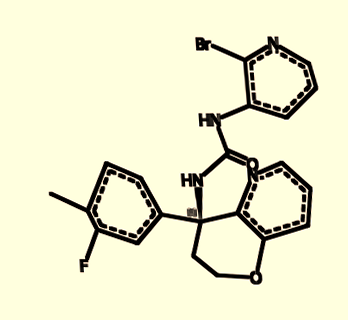 Cc1ccc([C@@]2(NC(=O)Nc3cccnc3Br)CCOc3cccnc32)cc1F